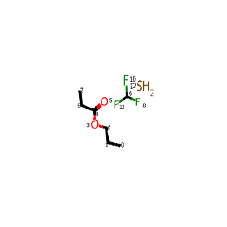 CCCOC(=O)CC.FC(F)F.S